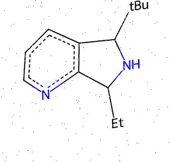 CCC1NC(C(C)(C)C)c2cccnc21